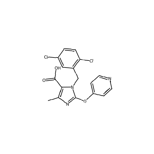 Cc1nc(Oc2ccncc2)n(Cc2cc(Cl)ccc2Cl)c1C(=O)O